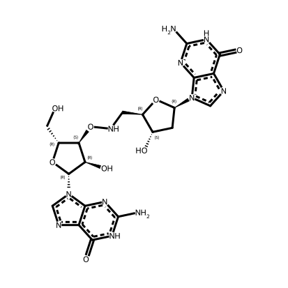 Nc1nc2c(ncn2[C@@H]2O[C@H](CO)[C@@H](ONC[C@H]3O[C@@H](n4cnc5c(=O)[nH]c(N)nc54)C[C@@H]3O)[C@H]2O)c(=O)[nH]1